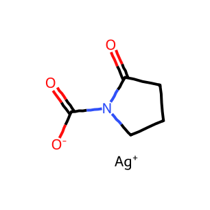 O=C([O-])N1CCCC1=O.[Ag+]